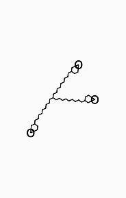 C(CCCCC(CCCCCCCCCC1CCC2OC2C1)CCCCCCCCCC1CCC2OC2C1)CCCCC1CCC2OC2C1